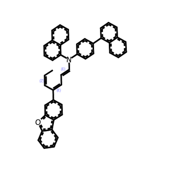 C\C=C/C(=C\C=C\N(c1ccc(-c2cccc3ccccc23)cc1)c1cccc2ccccc12)c1ccc2c(c1)oc1ccccc12